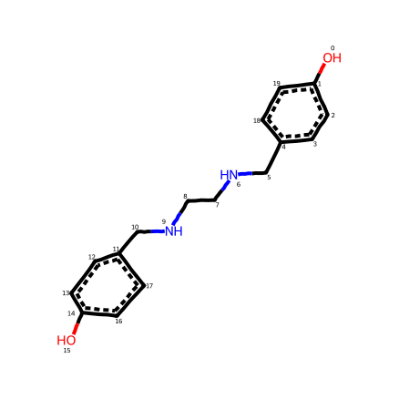 Oc1ccc(CNCCNCc2ccc(O)cc2)cc1